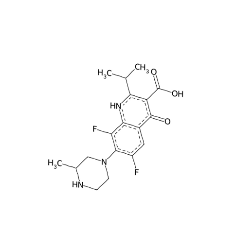 CC1CN(c2c(F)cc3c(=O)c(C(=O)O)c(C(C)C)[nH]c3c2F)CCN1